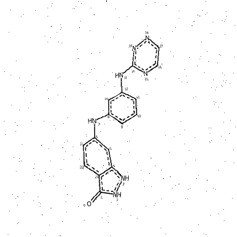 O=c1[nH][nH]c2cc(Nc3cccc(Nc4nccnn4)c3)ccc12